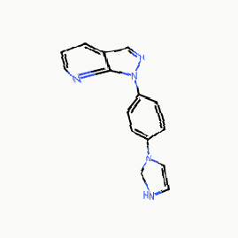 C1=CN(c2ccc(-n3ncc4cccnc43)cc2)CN1